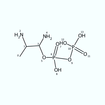 CC(N)C(N)OP(=O)(O)OP(=O)(O)O